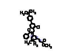 C=N\C=C(/C=C(C)/C=C/C(=O)OC)N(Cc1ccc(-c2ccc(N(C)C)cc2)cc1Cl)C(=O)c1ccccc1